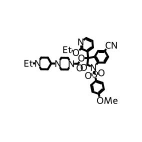 CCOc1ncccc1C1(OC(=O)N2CCN(C3CCN(CC)CC3)CC2)C(=O)N(S(=O)(=O)c2ccc(OC)cc2)c2ccc(C#N)cc21